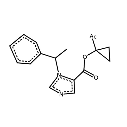 CC(=O)C1(OC(=O)c2cncn2C(C)c2ccccc2)CC1